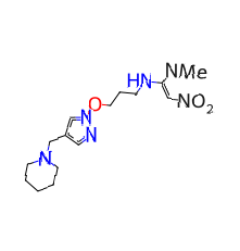 CNC(=C[N+](=O)[O-])NCCCOn1cc(CN2CCCCC2)cn1